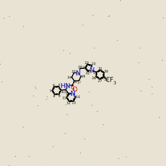 O=C(NC(c1ccccc1)c1ccccn1)C1CCN(Cc2ccn(-c3ccc(C(F)(F)F)cc3)c2)CC1